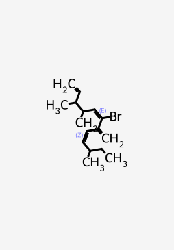 C=CC(C)C(C)/C=C(/Br)C(=C)/C=C\C(C)CC